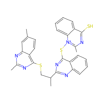 Cc1ccc2c(SCC(C)c3nc(S[n+]4c(C)nc(S)c5ccccc54)c4ccccc4n3)nc(C)nc2c1